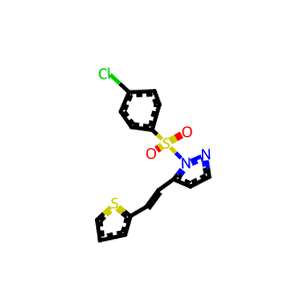 O=S(=O)(c1ccc(Cl)cc1)n1nccc1C=Cc1cccs1